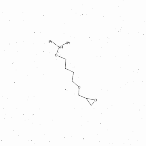 CC(C)[SiH](OCCCCOCC1CO1)C(C)C